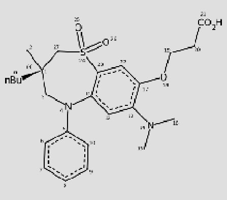 CCCC[C@]1(C)CN(c2ccccc2)c2cc(N(C)C)c(OCCC(=O)O)cc2S(=O)(=O)C1